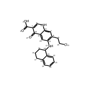 O=C(O)c1c[nH]c2cc(CCCl)c(NC3CCCc4ccccc43)cc2c1=O